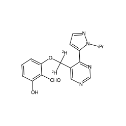 [2H]C([2H])(Oc1cccc(O)c1C=O)c1cncnc1-c1ccnn1C(C)C